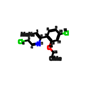 CN/C=C(\N=C/CCl)c1ccc(Cl)cc1OCOC